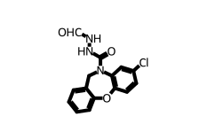 O=CNNC(=O)N1Cc2ccccc2Oc2ccc(Cl)cc21